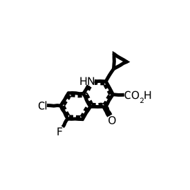 O=C(O)c1c(C2CC2)[nH]c2cc(Cl)c(F)cc2c1=O